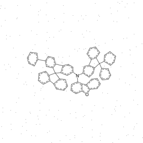 c1ccc(-c2ccc3c(c2)C2(c4ccccc4-c4ccccc42)c2cc(N(c4ccc5c(c4)-c4ccccc4C5(c4ccccc4)c4ccccc4)c4cccc5oc6ccccc6c45)ccc2-3)cc1